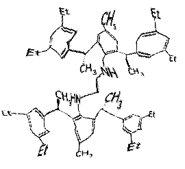 CCc1cc(CC)cc([C@@H](C)c2cc(C)cc([C@H](C)c3cc(CC)cc(CC)c3)c2NCCNc2c([C@H](C)c3cc(CC)cc(CC)c3)cc(C)cc2[C@H](C)c2cc(CC)cc(CC)c2)c1